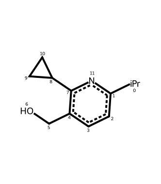 CC(C)c1ccc(CO)c(C2CC2)n1